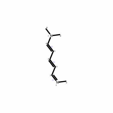 C\N=C/C=C/C=C/N(C)C